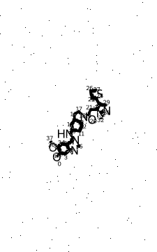 COc1cc2ncnc(Nc3ccc4c(c3)CCN4C(=O)Cc3c(-c4cccs4)cnn3C)c2cc1OC